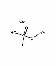 CCCOP(C)(=O)O.[Co]